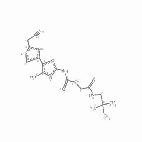 Cc1nc(NC(=O)NCC(=O)NCC(C)(C)C)sc1-c1csc(CC#N)n1